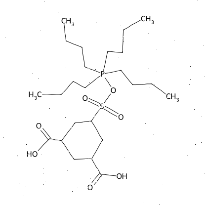 CCCCP(CCCC)(CCCC)(CCCC)OS(=O)(=O)C1CC(C(=O)O)CC(C(=O)O)C1